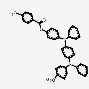 COc1ccc(N(c2ccccc2)c2ccc(N(c3ccccc3)c3ccc(OC(=O)c4ccc(C)cc4)cc3)cc2)cc1